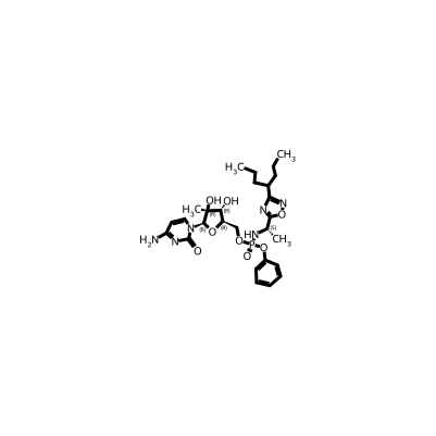 CCCC(CCC)c1noc([C@H](C)NP(=O)(OC[C@H]2O[C@@H](n3ccc(N)nc3=O)[C@](C)(O)[C@@H]2O)Oc2ccccc2)n1